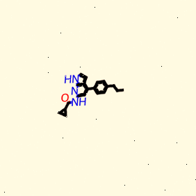 CCCc1ccc(-c2cc(NC(=O)C3CC3)nc3[nH]ccc23)cc1